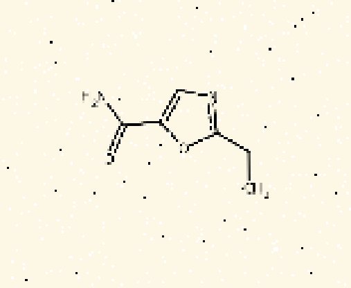 CCc1ncc(C(N)=O)o1